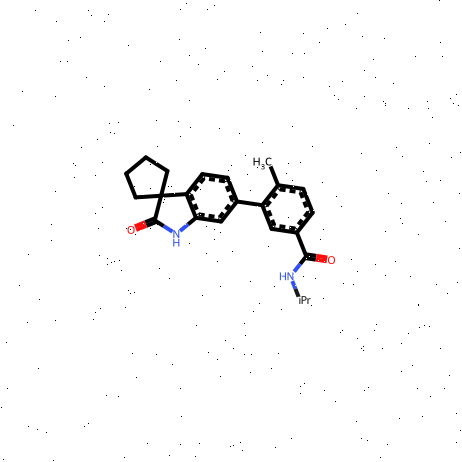 Cc1ccc(C(=O)NC(C)C)cc1-c1ccc2c(c1)NC(=O)C21CCCC1